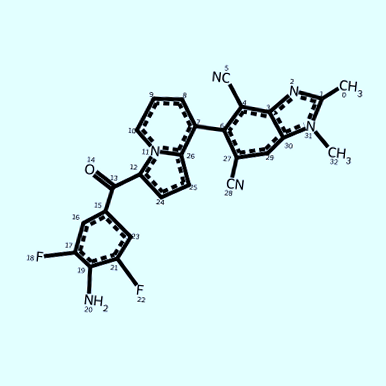 Cc1nc2c(C#N)c(-c3cccn4c(C(=O)c5cc(F)c(N)c(F)c5)ccc34)c(C#N)cc2n1C